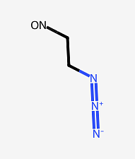 [N-]=[N+]=NCCN=O